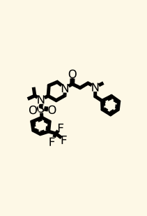 CC(C)N(C1CCN(C(=O)CCN(C)Cc2ccccc2)CC1)S(=O)(=O)c1cccc(C(F)(F)F)c1